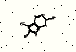 CC(C)C1Cn2nc(Br)c(Cl)c2C=N1